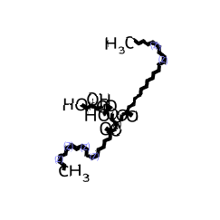 CC/C=C\C/C=C\C/C=C\C/C=C\CCCCC(=O)O[C@H](COC(=O)CCCCCCCCCCC/C=C\C/C=C\CCCCC)COP(=O)(O)OC[C@@H](O)CO